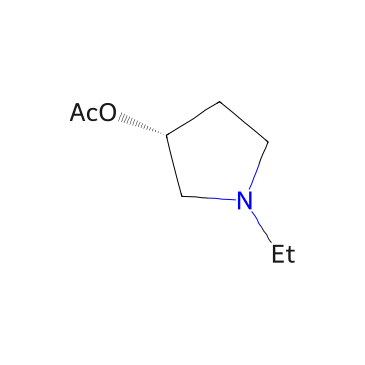 CCN1CC[C@@H](OC(C)=O)C1